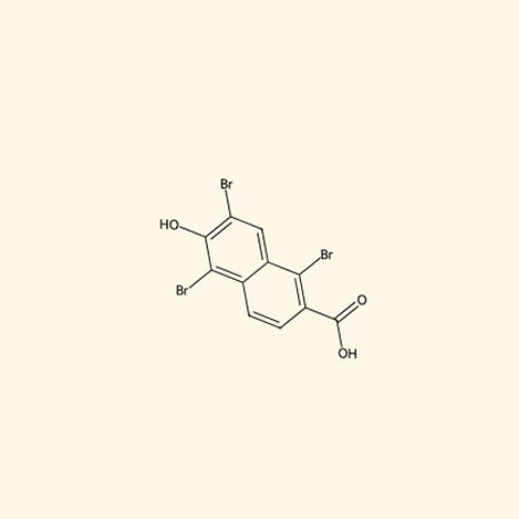 O=C(O)c1ccc2c(Br)c(O)c(Br)cc2c1Br